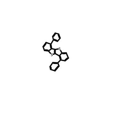 c1ccc(-c2cccc3sc4c(sc5cccc(-c6ccccc6)c54)c23)cc1